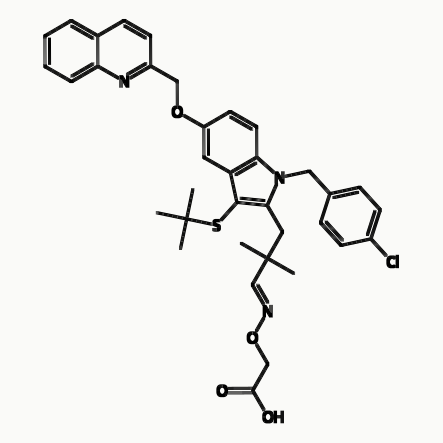 CC(C)(/C=N/OCC(=O)O)Cc1c(SC(C)(C)C)c2cc(OCc3ccc4ccccc4n3)ccc2n1Cc1ccc(Cl)cc1